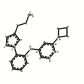 NCCc1cnn(-c2ccccc2Sc2cnnc(N3CCC3)c2)c1